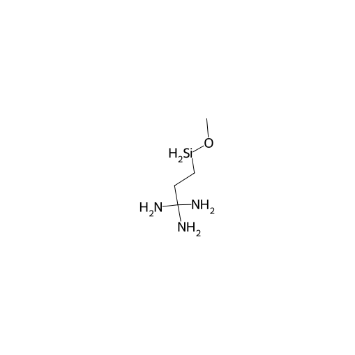 CO[SiH2]CCC(N)(N)N